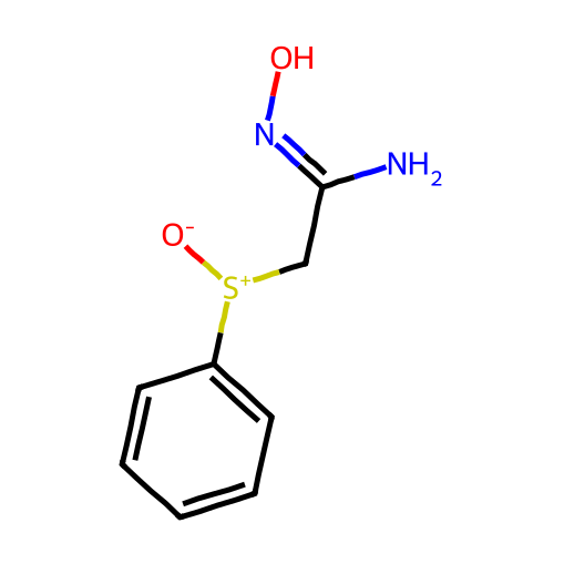 NC(C[S+]([O-])c1ccccc1)=NO